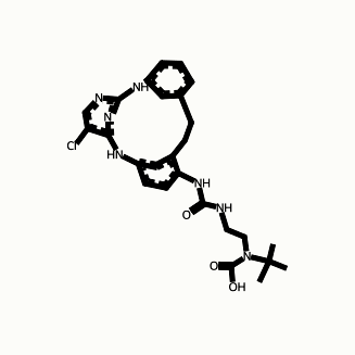 CC(C)(C)N(CCNC(=O)Nc1ccc2cc1CCc1cccc(c1)Nc1ncc(Cl)c(n1)N2)C(=O)O